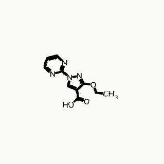 CCOc1nn(-c2ncccn2)cc1C(=O)O